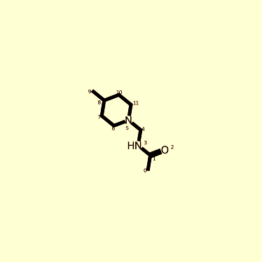 CC(=O)NCN1CCC(C)CC1